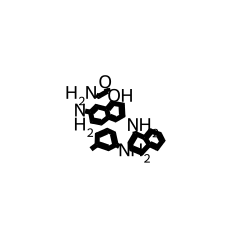 Cc1cccc(N)c1.NCC(=O)O.Nc1ccc2ccccc2c1.Nc1cccc2ccccc12